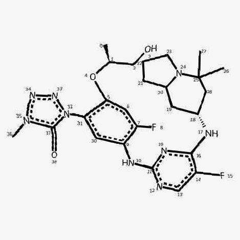 C[C@@H](CO)Oc1cc(F)c(Nc2ncc(F)c(N[C@@H]3CC4CCCN4C(C)(C)C3)n2)cc1-n1nnn(C)c1=O